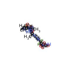 CCOc1cc(N2CCC(N3CCN(CCc4c(F)cc5c(oc(=O)n5C5CCC(=O)NC5=O)c4F)CC3)CC2)c(CC)cc1Nc1ncc(Br)c(Nc2ccc3nc(CC)ccc3c2P(C)(C)=O)n1